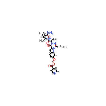 CCCCCC(=O)NC(Cc1ccc(OCOC(=O)c2ccncc2)cc1)C(=O)NC(C(=O)NC1(C)CC1(C)C(N)=O)C(C)CC